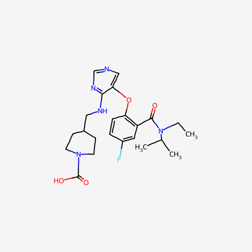 CCN(C(=O)c1cc(F)ccc1Oc1cncnc1NCC1CCN(C(=O)O)CC1)C(C)C